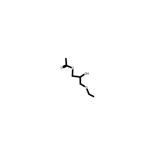 CCOCC(O)COC(C)=O